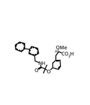 CO[C@@H](CC1=CC=CC(OC(C)(C)C(=O)NCc2cccc(-c3ccccc3)c2)C1)C(=O)O